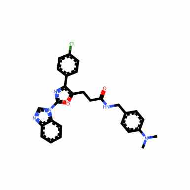 CN(C)c1ccc(CNC(=O)CCc2oc(-n3cnc4ccccc43)nc2-c2ccc(Cl)cc2)cc1